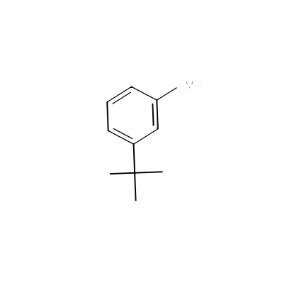 CCC(C)(C)c1cccc(SC)c1